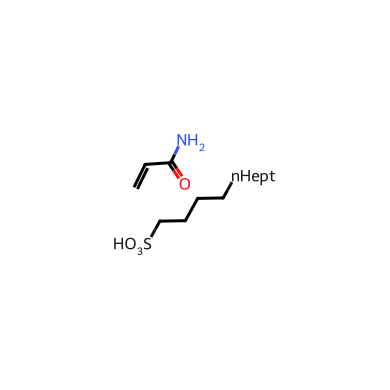 C=CC(N)=O.CCCCCCCCCCCS(=O)(=O)O